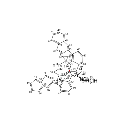 CCCC1(CC2=Cc3c(-c4ccc5ccccc5c4)cccc3[CH]2[Zr]([CH3])([CH3])(=[SiH2])[CH]2C(CC3(CCC)CC3)=Cc3c(-c4ccc5ccccc5c4)cccc32)CC1.Cl.Cl